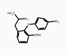 COc1cccc(CC(N)C(=O)O)c1Oc1ccc([N+](=O)[O-])cc1